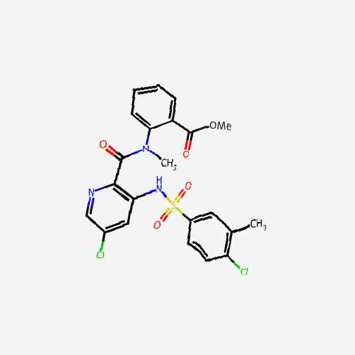 COC(=O)c1ccccc1N(C)C(=O)c1ncc(Cl)cc1NS(=O)(=O)c1ccc(Cl)c(C)c1